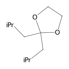 CC(C)CC1(CC(C)C)OCCO1